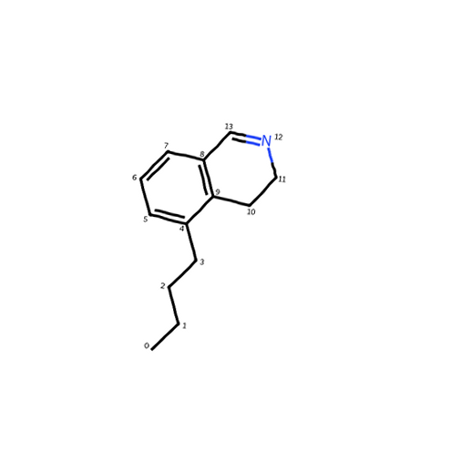 CCCCc1cccc2c1CCN=C2